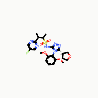 COc1cccc(OC)c1-n1c(NS(=O)(=O)C(C)C(C)c2ncc(F)cn2)nnc1[C@H]1CCOC1